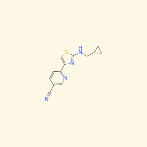 N#Cc1ccc(-c2csc(NCC3CC3)n2)nc1